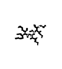 C=CC=C=C(C=C)C(/C(C)=C/CC)N(CC)CN(CN(C)C(/C(C=C)=C/C=C\C)C(/C=C\C=C)=C/C)C(C)/C(C)=C/CC